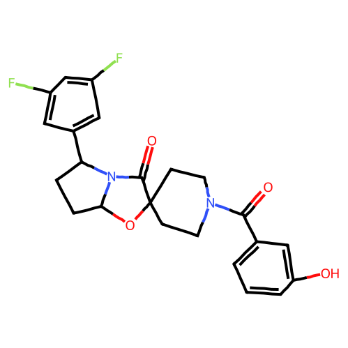 O=C(c1cccc(O)c1)N1CCC2(CC1)OC1CCC(c3cc(F)cc(F)c3)N1C2=O